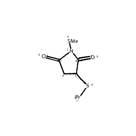 CSN1C(=O)CC(SC(C)C)C1=O